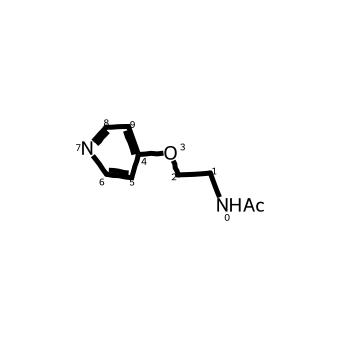 CC(=O)NCCOc1ccncc1